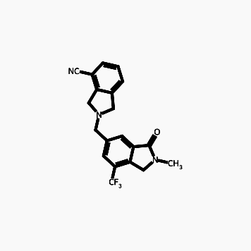 CN1Cc2c(cc(CN3Cc4cccc(C#N)c4C3)cc2C(F)(F)F)C1=O